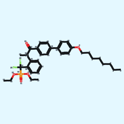 CCCCCCCCOc1ccc(-c2ccc(C(=O)[As](C)c3ccccc3C(F)(F)P(=O)(OCC)OCC)cc2)cc1